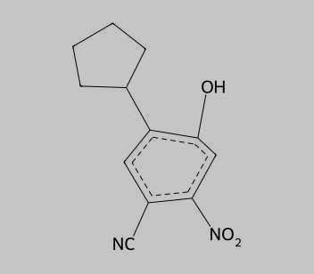 N#Cc1cc(C2CCCC2)c(O)cc1[N+](=O)[O-]